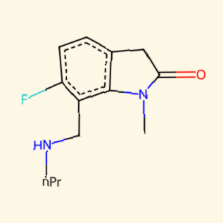 CCCNCc1c(F)ccc2c1N(C)C(=O)C2